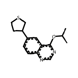 CC(C)Oc1ncnc2ccc(C3CCSC3)cc12